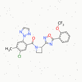 Cc1cc(-n2nccn2)c(C(=O)N2CCC2c2noc(-c3ccccc3OC(F)(F)F)n2)cc1Cl